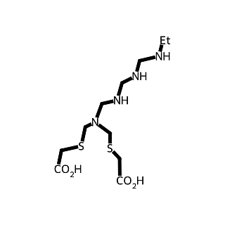 CCNCNCNCN(CSCC(=O)O)CSCC(=O)O